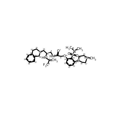 CC(N[C@H](CNC(=O)COc1cccc(N2CCN(C)CC2)c1S(=O)(=O)N(C)C)CN1CCc2ccccc2C1)C(F)(F)F